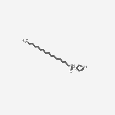 CCCCCCCCCCCCCCCCNC(=O)[C@H]1CCNC1